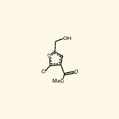 COC(=O)c1cc(CO)oc1Cl